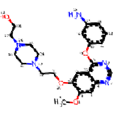 COc1cc2ncnc(Oc3cccc(N)c3)c2cc1OCCN1CCN(CCO)CC1